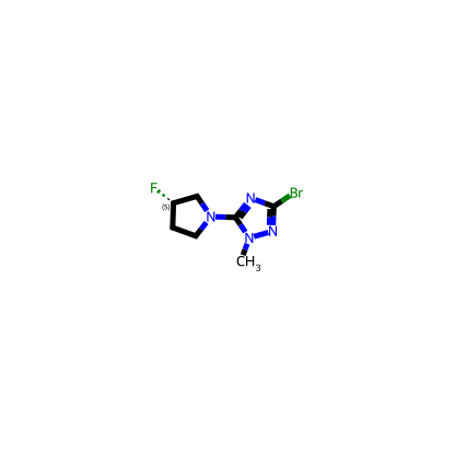 Cn1nc(Br)nc1N1CC[C@H](F)C1